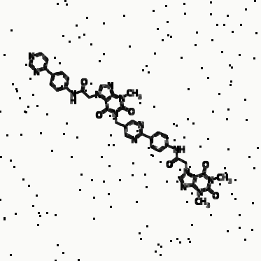 Cn1c(=O)c2c(ncn2CC(=O)Nc2ccc(-c3ncc(Cn4c(=O)c5c(ncn5CC(=O)Nc5ccc(-c6ccncn6)cc5)n(C)c4=O)cn3)cc2)n(C)c1=O